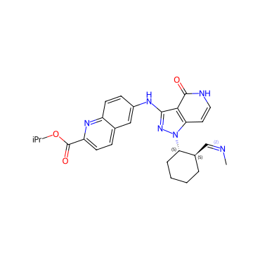 C/N=C\[C@H]1CCCC[C@@H]1n1nc(Nc2ccc3nc(C(=O)OC(C)C)ccc3c2)c2c(=O)[nH]ccc21